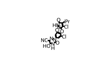 CC(C)c1c(Cl)c(Oc2c(Cl)cc(N3N=C(C#N)C(O)NC3=O)cc2Cl)n[nH]c1=O